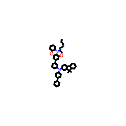 C=C/C=C\C=C1/COc2cc(-c3cccc(N(c4ccc(-c5ccccc5)cc4)c4ccc5c(c4)C(C)(C)c4ccccc4-5)c3)cc3c2N1c1ccccc1O3